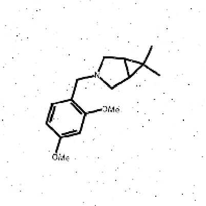 COc1ccc(CN2CC3C(C2)C3(C)C)c(OC)c1